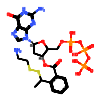 CC(SSCCN)c1ccccc1C(=O)O[C@@H]1C[C@H](n2cnc3c(=O)[nH]c(N)nc32)OC1COP(=O)(O)OP(=O)(O)OP(=O)(O)O